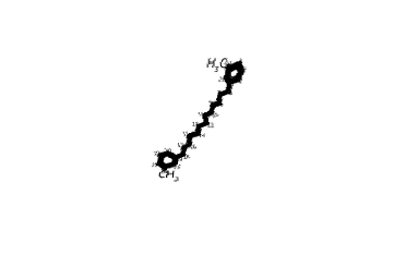 Cc1cccc(CCCCCCCCCCCCCc2cccc(C)c2)c1